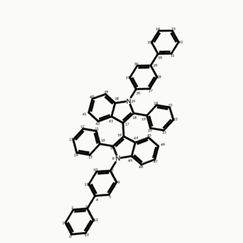 c1ccc(-c2ccc(-n3c(-c4ccccc4)c(-c4c(-c5ccccc5)n(-c5ccc(-c6ccccc6)cc5)c5ccccc45)c4ccccc43)cc2)cc1